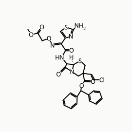 COC(=O)CON=C(C(=O)NC1C(=O)N2CC(C=CCl)(C(=O)OC(c3ccccc3)c3ccccc3)CS[C@H]12)c1csc(N)n1